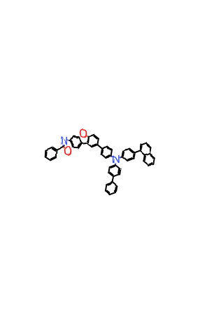 c1ccc(-c2ccc(N(c3ccc(-c4ccc5oc6cc7nc(-c8ccccc8)oc7cc6c5c4)cc3)c3ccc(-c4cccc5ccccc45)cc3)cc2)cc1